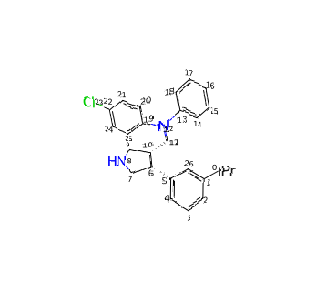 CC(C)c1cccc([C@@H]2CNC[C@@H]2CN(c2ccccc2)c2ccc(Cl)cc2)c1